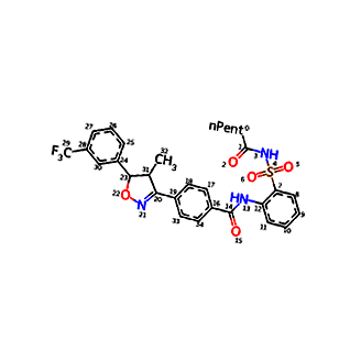 CCCCCC(=O)NS(=O)(=O)c1ccccc1NC(=O)c1ccc(C2=NOC(c3cccc(C(F)(F)F)c3)C2C)cc1